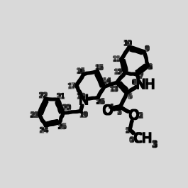 CCOC(=O)c1[nH]c2ccccc2c1C1=CCCN(Cc2ccccc2)C1